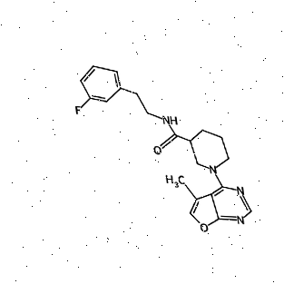 Cc1coc2ncnc(N3CCCC(C(=O)NCCc4cccc(F)c4)C3)c12